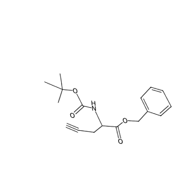 C#CCC(NC(=O)OC(C)(C)C)C(=O)OCc1ccccc1